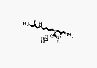 Cl.Cl.Cl.NCC(F)CNCCCCN(CC(F)CN)C(=O)O